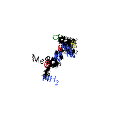 COC(=O)c1cc(N2CCN(C(=O)C[C@@H]3N=C(c4ccc(Cl)cc4)c4c(sc(C)c4C)-n4c(C)nnc43)CC2)ccc1C#CCCCN